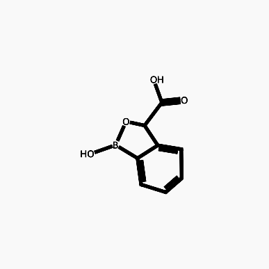 O=C(O)C1OB(O)c2ccccc21